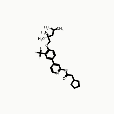 CC(C)C[C@](C)(N)COc1ccc(-c2ccnc(NC(=O)CC3CCCC3)c2)cc1C(F)(F)F